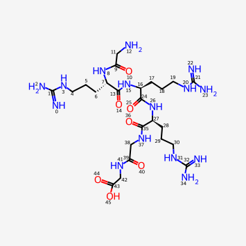 N=C(N)NCCC[C@H](NC(=O)CN)C(=O)N[C@@H](CCCNC(=N)N)C(=O)N[C@@H](CCCNC(=N)N)C(=O)NCC(=O)NCC(=O)O